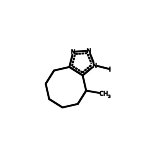 CC1CCCCCc2nnn(I)c21